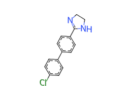 Clc1ccc(-c2ccc(C3=NCCN3)cc2)cc1